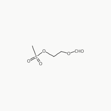 CS(=O)(=O)OCCOC=O